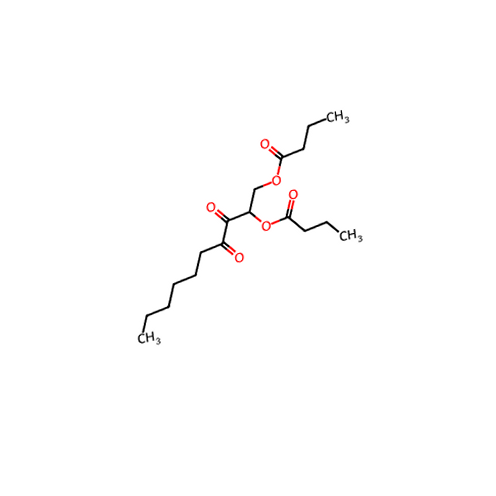 CCCCCCC(=O)C(=O)C(COC(=O)CCC)OC(=O)CCC